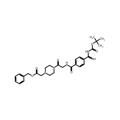 CC(C)(C)OC(=O)NC(=N)c1ccc(C(=O)NCC(=O)N2CCN(CC(=O)OCc3ccccc3)CC2)cc1